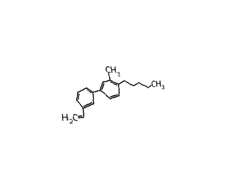 C=Cc1cccc(-c2ccc(CCCCC)c(C)c2)c1